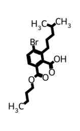 CCCCOC(=O)c1ccc(Br)c(CCCC(C)C)c1C(=O)O